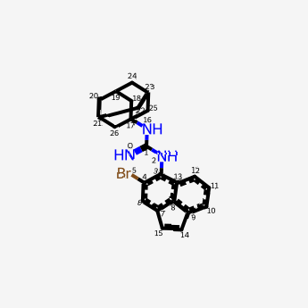 N=C(Nc1c(Br)cc2c3c(cccc13)C=C2)NC12CC3CC(CC(C3)C1)C2